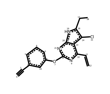 C#Cc1cccc(Oc2nc(C=C)c3c(Cl)c(CC)[nH]c3n2)c1